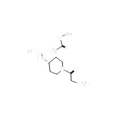 COCC(=O)N1CC[C@@H](NC(=O)O)[C@H](NC(=O)OC(C)(C)C)C1